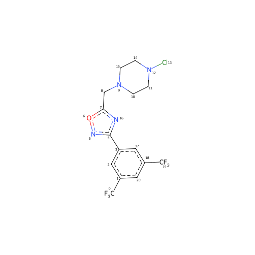 FC(F)(F)c1cc(-c2noc(CN3CCN(Cl)CC3)n2)cc(C(F)(F)F)c1